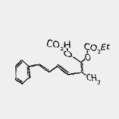 CCOC(=O)OC(OC(=O)O)=C(C)C=CC=Cc1ccccc1